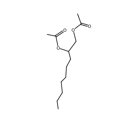 CCCCCCCC(COC(C)=O)OC(C)=O